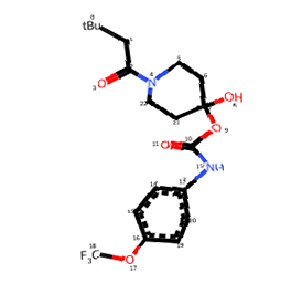 CC(C)(C)CC(=O)N1CCC(O)(OC(=O)Nc2ccc(OC(F)(F)F)cc2)CC1